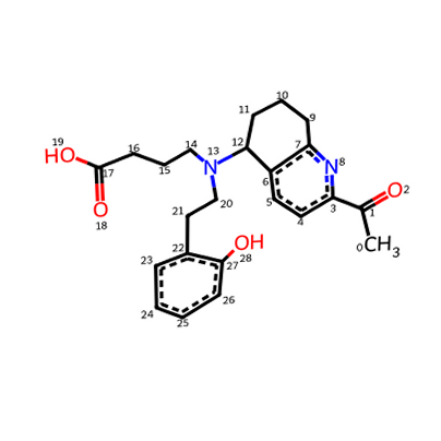 CC(=O)c1ccc2c(n1)CCCC2N(CCCC(=O)O)CCc1ccccc1O